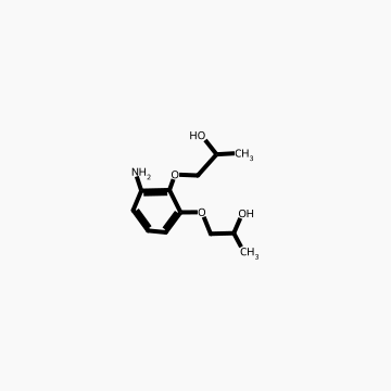 CC(O)COc1cccc(N)c1OCC(C)O